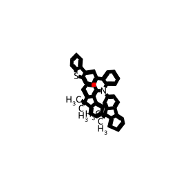 CC1(C)c2ccccc2-c2ccc(N(c3ccccc3-c3ccc4sc5ccccc5c4c3)c3cccc4c3-c3ccccc3C4(C)C)cc21